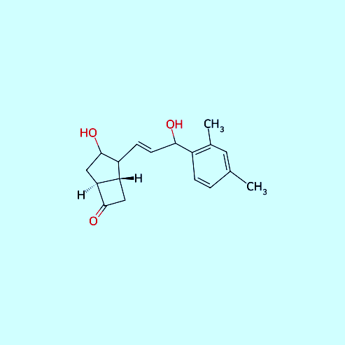 Cc1ccc(C(O)C=CC2C(O)C[C@@H]3C(=O)C[C@@H]23)c(C)c1